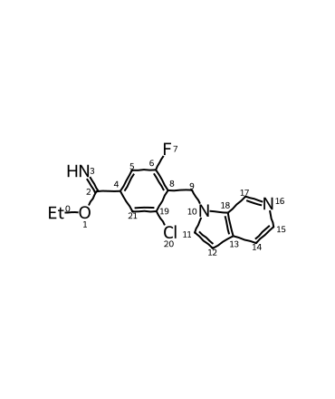 CCOC(=N)c1cc(F)c(Cn2ccc3ccncc32)c(Cl)c1